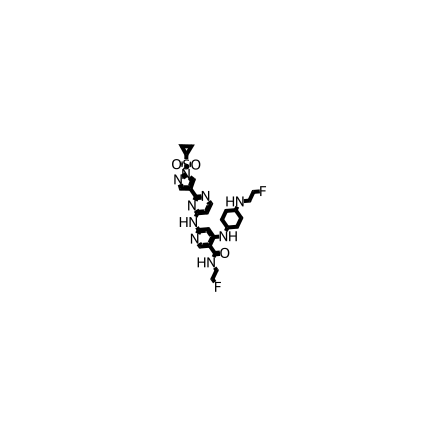 O=C(NCCF)c1cnc(Nc2ccnc(-c3cnn(S(=O)(=O)C4CC4)c3)n2)cc1NC1CCC(NCCF)CC1